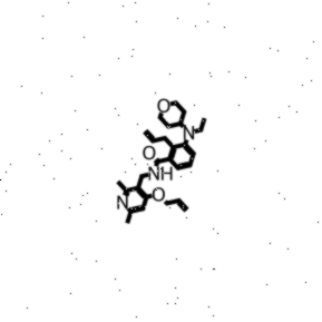 C=CCOc1cc(C)nc(C)c1CNC(=O)c1cccc(N(CC)C2CCOCC2)c1CC=C